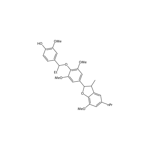 CCCc1cc(OC)c2c(c1)C(C)C(c1cc(OC)c(OC(CC)c3ccc(O)c(OC)c3)c(OC)c1)O2